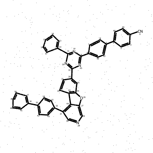 N#Cc1ccc(-c2ccc(-c3nc(-c4ccccc4)nc(-c4ccc5c(c4)oc4cncc(-c6ccc(-c7ccccc7)cc6)c45)n3)cc2)cc1